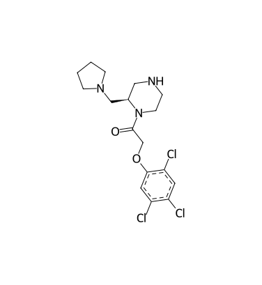 O=C(COc1cc(Cl)c(Cl)cc1Cl)N1CCNC[C@@H]1CN1CCCC1